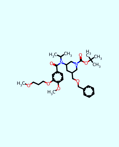 COCCCOc1cc(C(=O)N(C(C)C)C2CC(COCc3ccccc3)CN(C(=O)OC(C)(C)C)C2)ccc1OC